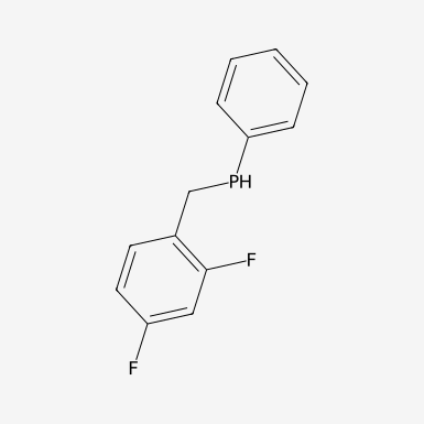 Fc1ccc(CPc2ccccc2)c(F)c1